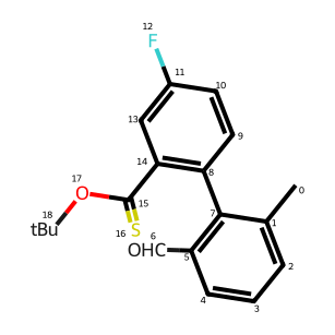 Cc1cccc(C=O)c1-c1ccc(F)cc1C(=S)OC(C)(C)C